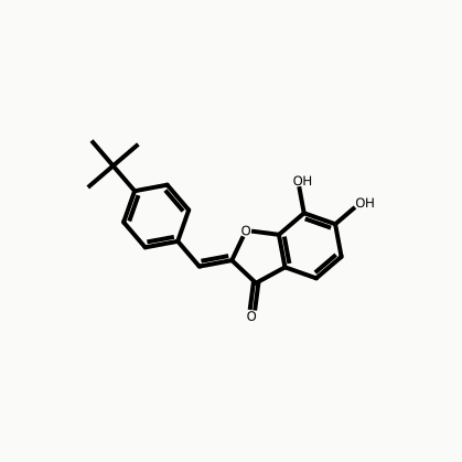 CC(C)(C)c1ccc(/C=C2\Oc3c(ccc(O)c3O)C2=O)cc1